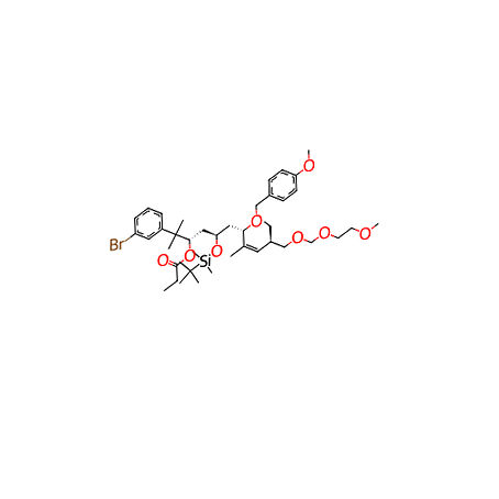 CCC(=O)O[C@@H](C[C@@H](C[C@H](OCc1ccc(OC)cc1)/C(C)=C\[C@@H](CC)COCOCCOC)O[Si](C)(C)C(C)(C)C)C(C)(C)c1cccc(Br)c1